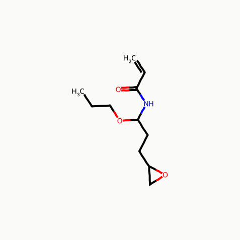 C=CC(=O)NC(CCC1CO1)OCCC